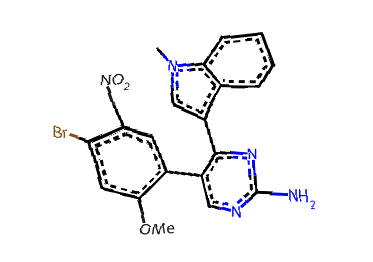 COc1cc(Br)c([N+](=O)[O-])cc1-c1cnc(N)nc1-c1cn(C)c2ccccc12